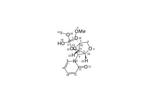 COC[C@@]12CO[C@H](C(n3ccccc3=O)O1)[C@@H]2OP(=O)(O)OI